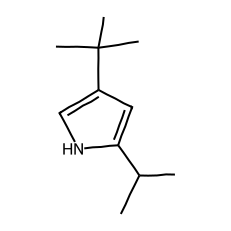 CC(C)c1cc(C(C)(C)C)c[nH]1